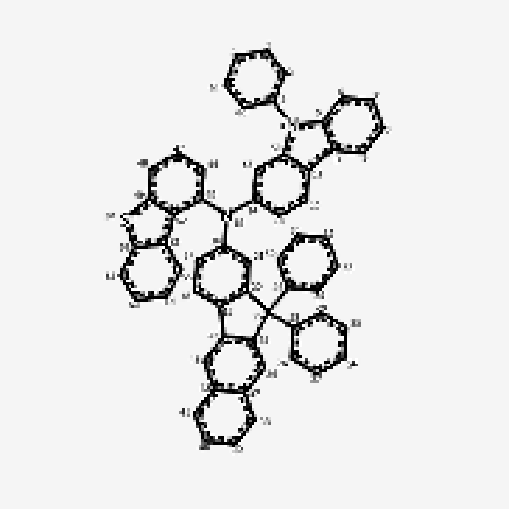 c1ccc(-n2c3ccccc3c3ccc(N(c4ccc5c(c4)C(c4ccccc4)(c4ccccc4)c4cc6ccccc6cc4-5)c4cccc5sc6ccccc6c45)cc32)cc1